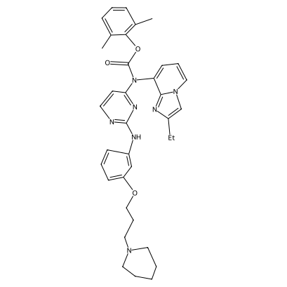 CCc1cn2cccc(N(C(=O)Oc3c(C)cccc3C)c3ccnc(Nc4cccc(OCCCN5CCCCC5)c4)n3)c2n1